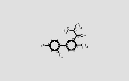 Cc1ccc(-c2ccc(F)cc2F)cc1C(=O)C(C)C